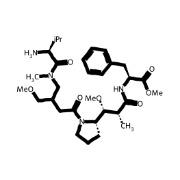 COCC(CC(=O)N1CCC[C@H]1[C@H](OC)[C@@H](C)C(=O)N[C@@H](Cc1ccccc1)C(=O)OC)CN(C)C(=O)[C@@H](N)C(C)C